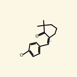 CC1(C)CCC/C(=C/c2ccc(Cl)cc2)C1=O